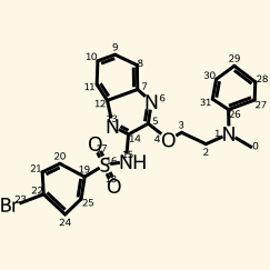 CN(CCOc1nc2ccccc2nc1NS(=O)(=O)c1ccc(Br)cc1)c1ccccc1